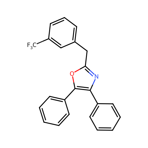 FC(F)(F)c1cccc(Cc2nc(-c3ccccc3)c(-c3ccccc3)o2)c1